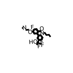 CCCCn1c(=O)c2cc(F)c(OCCN(C)C)cc2c2cc(C(C)(O)C(F)(F)F)ccc21